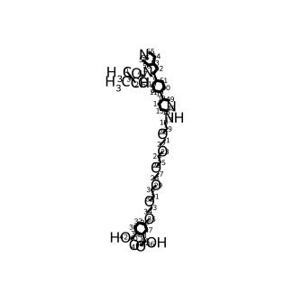 CC(C)(C)OC(=O)n1c(-c2ccc(-c3ccc(NCCOCCOCCOCCOCCOCCOc4ccc(C(=O)O)c(C(=O)O)c4)nc3)cc2)cc2ccncc21